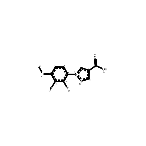 COc1ccc(-n2cc(C(=O)O)cn2)c(F)c1F